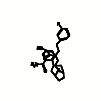 NC(=O)c1ccccc1C1CC2CCC(C1)N2CCN(CCc1cccc(F)c1)C(=O)CO